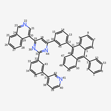 c1ccc(-c2c3ccccc3c(-c3cccc(-c4cc(-c5cncc6ccccc56)nc(-c5cccc(-c6cccnc6)c5)n4)c3)c3ccccc23)cc1